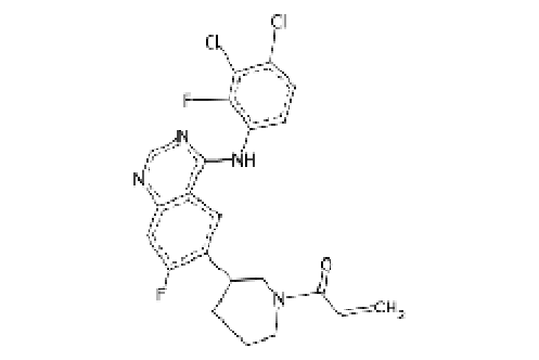 C=CC(=O)N1CCCC(c2cc3c(Nc4ccc(Cl)c(Cl)c4F)ncnc3cc2F)C1